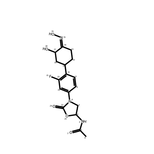 CC(=O)NC1CN(c2ccc(C3CC/C(=N/O)C(O)C3)c(F)c2)C(=O)O1